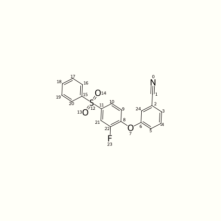 N#Cc1c[c]cc(Oc2ccc(S(=O)(=O)c3ccccc3)cc2F)c1